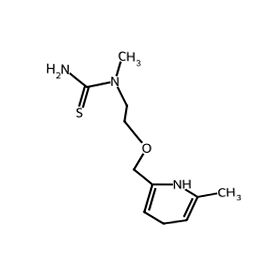 CC1=CCC=C(COCCN(C)C(N)=S)N1